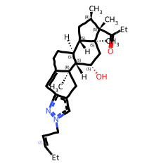 CC/C=C\Cn1cc2c(n1)C=C1CC[C@@H]3[C@H]([C@@H](O)C[C@@]4(C)[C@H]3C[C@@H](C)[C@]4(C)C(=O)CC)[C@@]1(C)C2